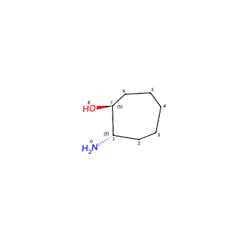 N[C@H]1CCCCC[C@@H]1O